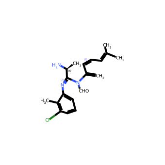 C=C(/C=C\C=C(C)C)N(C=O)/C(=N\c1cccc(Cl)c1C)[C@H](C)N